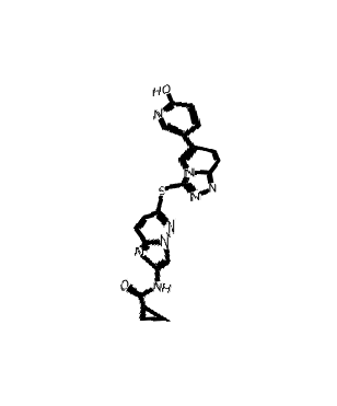 O=C(Nc1cn2nc(Sc3nnc4ccc(-c5ccc(O)nc5)cn34)ccc2n1)C1CC1